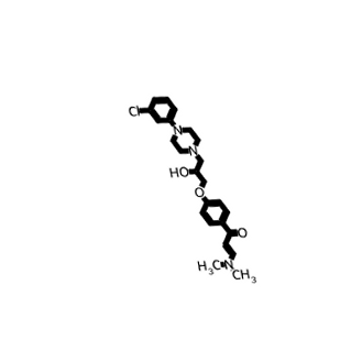 CN(C)C=CC(=O)c1ccc(OCC(O)CN2CCN(c3cccc(Cl)c3)CC2)cc1